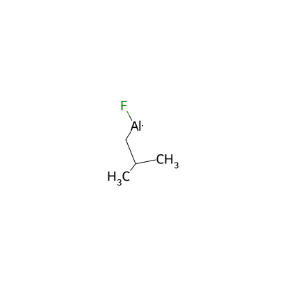 CC(C)[CH2][Al][F]